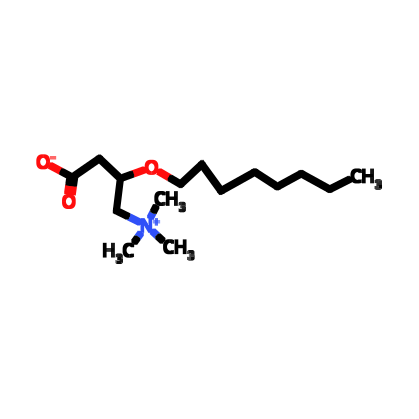 CCCCCCCCOC(CC(=O)[O-])C[N+](C)(C)C